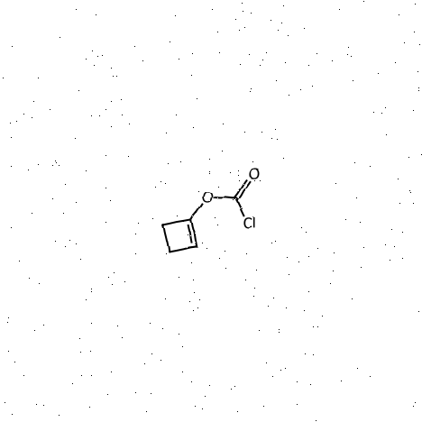 O=C(Cl)OC1=CCC1